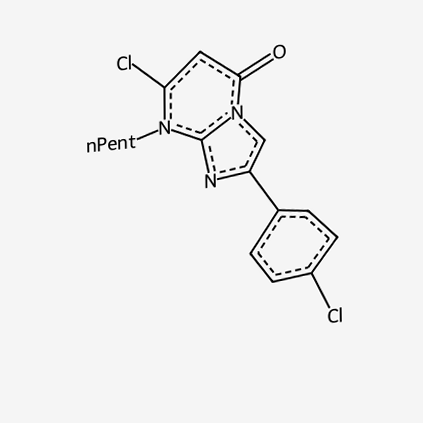 CCCCCn1c(Cl)cc(=O)n2cc(-c3ccc(Cl)cc3)nc12